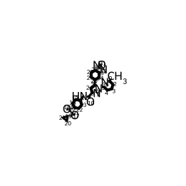 Cc1cccc(-n2nc(C(=O)Nc3ccc(S(=O)(=O)C4CC4)cc3)cc2-c2ccc3nonc3c2)n1